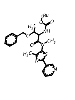 Cc1nc(-c2cccnc2)sc1N(C)C(=O)C(NC(=O)OC(C)(C)C)C(C)OCc1ccccc1